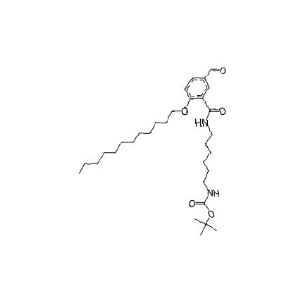 CCCCCCCCCCCCOc1ccc(C=O)cc1C(=O)NCCCCCCNC(=O)OC(C)(C)C